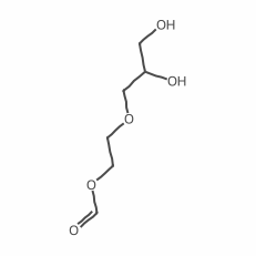 O=COCCOCC(O)CO